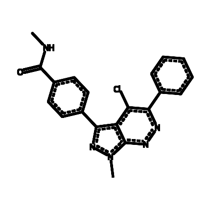 CNC(=O)c1ccc(-c2nn(C)c3nnc(-c4ccccc4)c(Cl)c23)cc1